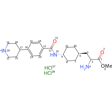 COC(=O)C(N)C[C@H]1CC[C@H](NC(=O)c2ccc(C3CCNCC3)cc2)CC1.Cl.Cl